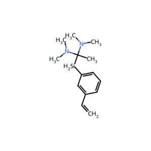 C=Cc1cccc([SiH2]C(C)(N(C)C)N(C)C)c1